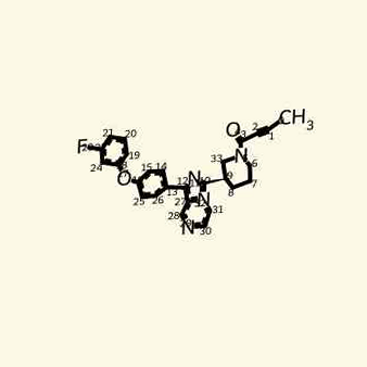 CC#CC(=O)N1CCC[C@@H](c2nc(-c3ccc(Oc4cccc(F)c4)cc3)c3cnccn23)C1